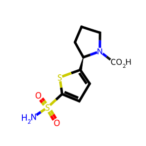 NS(=O)(=O)c1ccc([C@H]2CCCN2C(=O)O)s1